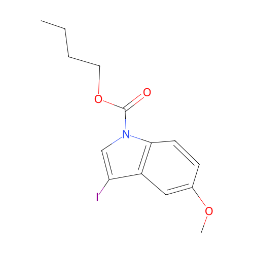 CCCCOC(=O)n1cc(I)c2cc(OC)ccc21